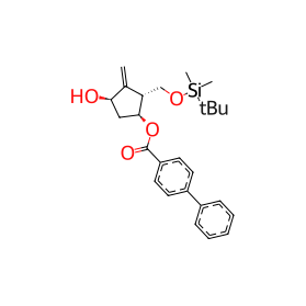 C=C1[C@H](O)C[C@H](OC(=O)c2ccc(-c3ccccc3)cc2)[C@H]1CO[Si](C)(C)C(C)(C)C